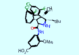 C#C[C@]1(c2ccc(Cl)cc2F)[C@H](CC(C)(C)C)N[C@@H](C(=O)Nc2ccc(C(=O)O)cc2OC)[C@@H]1c1cccc(Cl)c1F